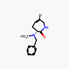 O=C1NCC(Br)=CC[C@H]1N(Cc1ccccc1)C(=O)O